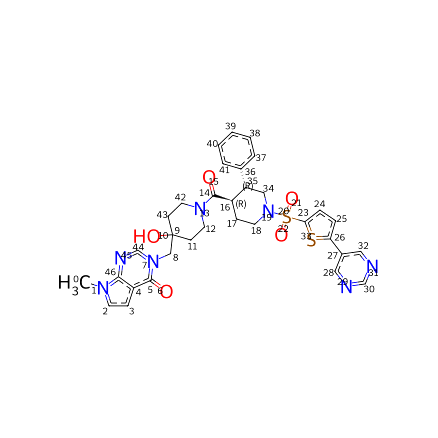 Cn1ccc2c(=O)n(CC3(O)CCN(C(=O)[C@@H]4CCN(S(=O)(=O)c5ccc(-c6cncnc6)s5)C[C@H]4c4ccccc4)CC3)cnc21